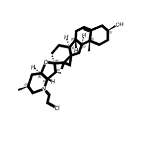 C[C@H]1C[C@H]2O[C@]3(CC[C@H]4[C@@H]5CC=C6C[C@@H](O)CC[C@]6(C)[C@H]5CC45CC53C)[C@H](C)[C@@H]2N(CCCl)C1